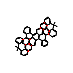 CC1(C)c2ccccc2N(c2ccc3c(-c4ccccc4-c4ccc5ccccc5c4)c4cc(N5c6ccccc6C(C)(C)c6ccccc65)ccc4c(-c4ccccc4-c4ccc5ccccc5c4)c3c2)c2ccccc21